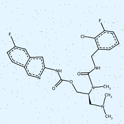 CN(C)C[C@@H](COC(=O)Nc1cc2cc(F)ccc2cn1)N(C)C(=O)NCc1cccc(F)c1Cl